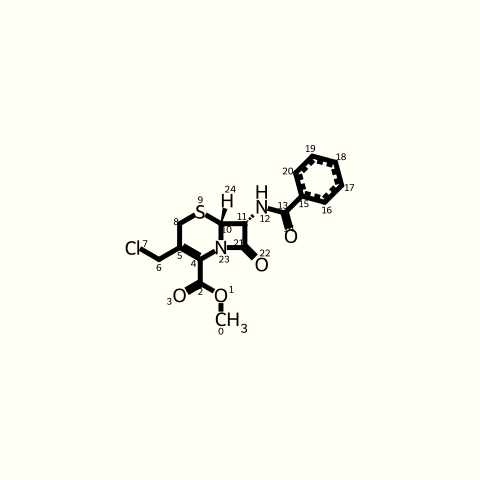 COC(=O)C1=C(CCl)CS[C@@H]2[C@H](NC(=O)c3ccccc3)C(=O)N12